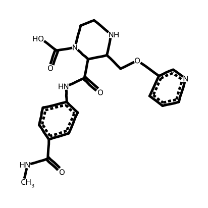 CNC(=O)c1ccc(NC(=O)C2C(COc3cccnc3)NCCN2C(=O)O)cc1